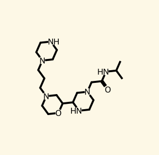 CC(C)NC(=O)CN1CCNC(C2CN(CCCN3CCNCC3)CCO2)C1